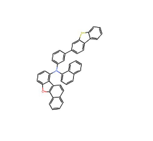 c1cc(-c2ccc3c(c2)sc2ccccc23)cc(N(c2cccc3ccccc23)c2cccc3oc4c5ccccc5ccc4c23)c1